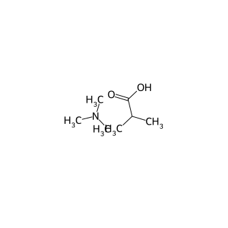 CC(C)C(=O)O.CN(C)C